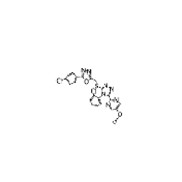 Clc1ccc(-c2nnc(CSc3nnc(-c4ncc(OC5CC5)cn4)n3-c3ccccc3Cl)o2)cc1